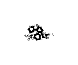 CS(=O)(=O)Oc1ccc([C@@]2(c3ccc(F)c(-c4cccnc4F)c3)N=C(N)NC2=O)cc1